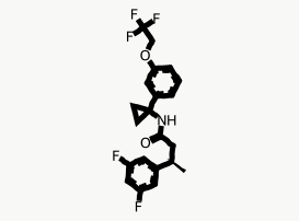 C[C@H](CC(=O)NC1(c2cccc(OCC(F)(F)F)c2)CC1)c1cc(F)cc(F)c1